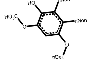 CCCCCCCCCCOc1cc(OC(=O)O)c(O)c(CCCCCCCCC)c1CCCCCCCCC